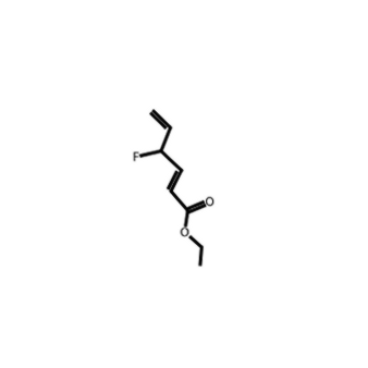 C=CC(F)C=CC(=O)OCC